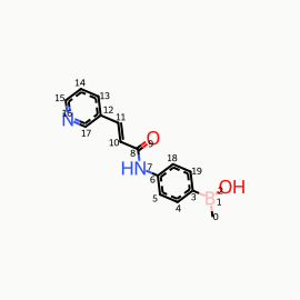 CB(O)c1ccc(NC(=O)/C=C/c2cccnc2)cc1